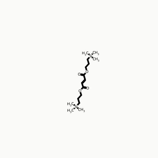 C[Si](C)(C)CCCOC(=O)/C=C/C(=O)OCCC[Si](C)(C)C